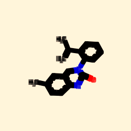 C=C(C)c1ccccc1-n1cc2cc(C)ccc2nc1=O